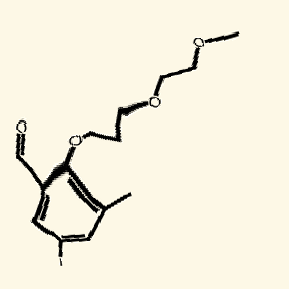 COCCOCCOc1c(C)cc(I)cc1C=O